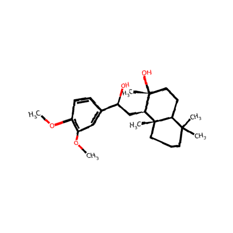 COc1ccc(C(O)C[C@@H]2[C@@]3(C)CCCC(C)(C)C3CC[C@@]2(C)O)cc1OC